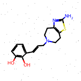 Nc1nc2c(s1)CCN(CC=Cc1cccc(O)c1O)CC2